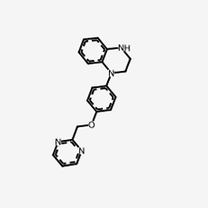 c1cnc(COc2ccc(N3CCNc4ccccc43)cc2)nc1